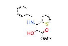 COC(=O)C(O)C(NCc1ccccc1)c1cccs1